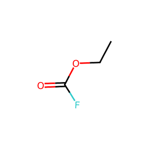 CCOC(=O)F